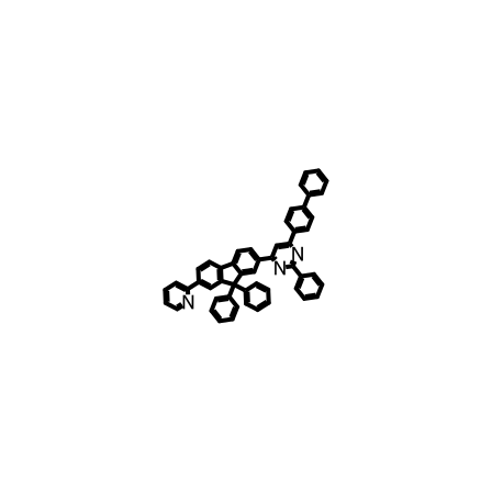 c1ccc(-c2ccc(-c3cc(-c4ccc5c(c4)C(c4ccccc4)(c4ccccc4)c4cc(-c6ccccn6)ccc4-5)nc(-c4ccccc4)n3)cc2)cc1